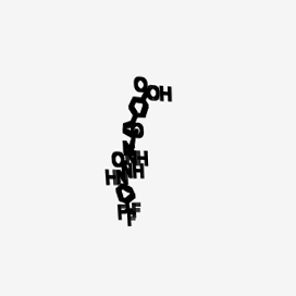 O=C(NN=Cc1ccc(-c2ccc(C(=O)O)cc2)o1)NNc1ccc(C(F)(F)F)cc1